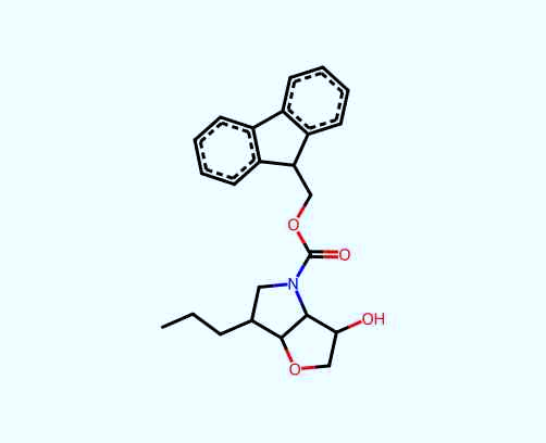 CCCC1CN(C(=O)OCC2c3ccccc3-c3ccccc32)C2C(O)COC12